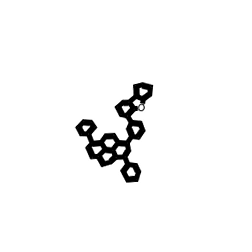 c1ccc(-c2ccc3ccc4c(-c5ccccc5)cc(-c5cccc(-c6cccc7c6oc6ccccc67)c5)c5ccc2c3c45)cc1